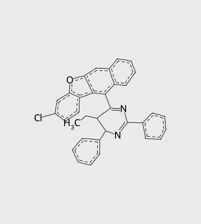 CCC1C(c2c3ccccc3cc3oc4cc(Cl)ccc4c23)=NC(c2ccccc2)=NC1c1ccccc1